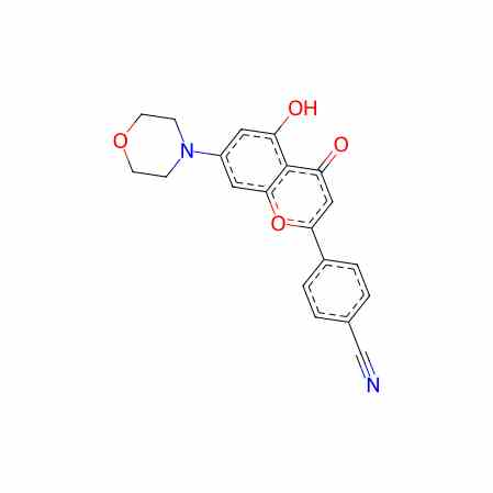 N#Cc1ccc(-c2cc(=O)c3c(O)cc(N4CCOCC4)cc3o2)cc1